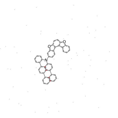 c1ccc(-c2ccc(-c3ccccc3N(c3ccc(-c4ccccc4)cc3)c3ccc4c(c3)oc3ccc5oc6ccccc6c5c34)cc2)cc1